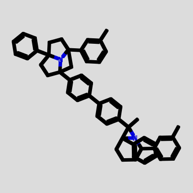 Cc1cccc(C2CCCC3(c4ccccc4)N2C3(C)c2ccc(-c3ccc(C45CCC6(c7ccccc7)CCC(c7cccc(C)c7)(C4)N65)cc3)cc2)c1